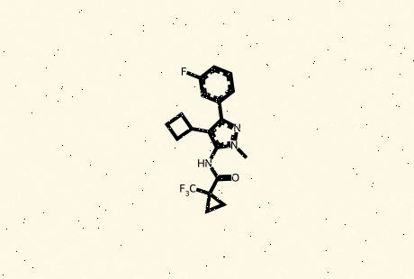 Cn1nc(-c2cccc(F)c2)c(C2CCC2)c1NC(=O)C1(C(F)(F)F)CC1